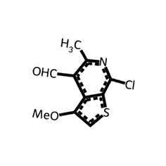 COc1csc2c(Cl)nc(C)c(C=O)c12